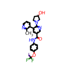 Cc1ncccc1-c1cc(C(=O)Nc2ccc(OC(F)(F)I)cc2)cnc1N1CC[C@@H](O)C1